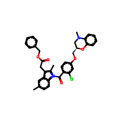 Cc1ccc2c(c1)c(CC(=O)OCc1ccccc1)c(C)n2C(=O)c1ccc(OC[C@@H]2CN(C)c3ccccc3O2)cc1Cl